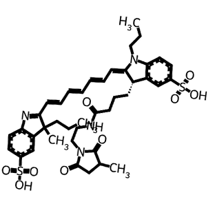 CCCN1/C(=C/C=C/C=C/C=C/C2=Nc3ccc(S(=O)(=O)O)cc3C2(C)CCC)[C@@H](CCCC(=O)NCCN2C(=O)CC(C)C2=O)c2cc(S(=O)(=O)O)ccc21